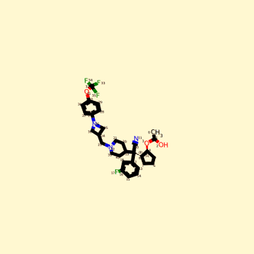 CC(O)O[C@H]1CCC[C@@H]1C(C#N)(c1cccc(F)c1)C1CCN(CC2CN(c3ccc(OC(F)(F)F)cc3)C2)CC1